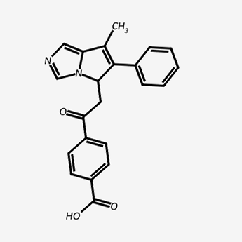 CC1=C(c2ccccc2)C(CC(=O)c2ccc(C(=O)O)cc2)n2cncc21